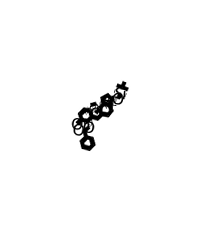 CC(C)(C)[Si](C)(C)O[C@H]1CC[C@@H]2[C@]1(C)CC=C1C=C3[C@@H](OC(=O)c4ccccc4)C(=O)C=C[C@]34CC[C@@]12O4